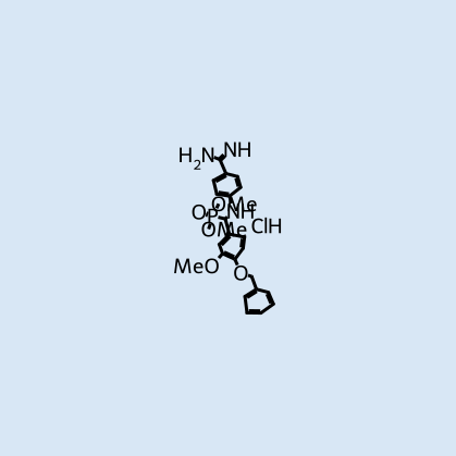 COc1cc(C(Nc2ccc(C(=N)N)cc2)P(=O)(OC)OC)ccc1OCc1ccccc1.Cl